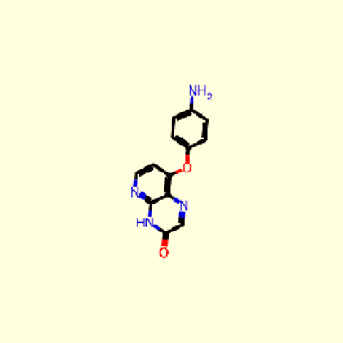 Nc1ccc(Oc2ccnc3[nH]c(=O)cnc23)cc1